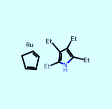 C1=CCC=C1.CCc1[nH]c(CC)c(CC)c1CC.[Ru]